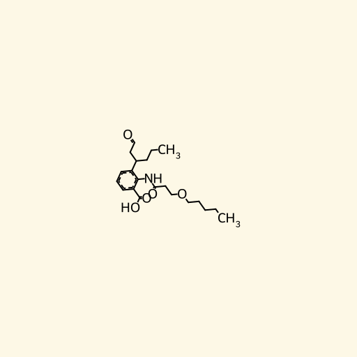 CCCCCOCCC(=O)Nc1c(C(=O)O)cccc1C(CC=O)CCC